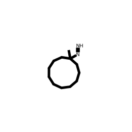 CC1(N=N)CCCCCCCCCC1